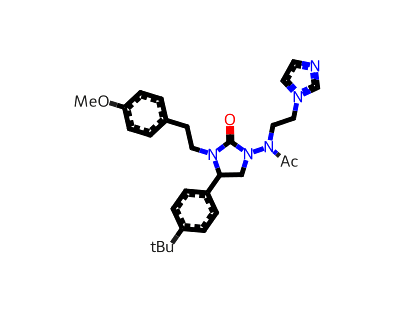 COc1ccc(CCN2C(=O)N(N(CCn3ccnc3)C(C)=O)CC2c2ccc(C(C)(C)C)cc2)cc1